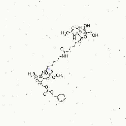 B[C@@H]1O[C@H](COC(=O)OCc2ccccc2)C(OP(O)(=S)OC)[C@@H]1C/C=C/CCCCNC(=O)CCCCO[C@@H]1O[C@H](CO)[C@H](O)[C@H](O)[C@H]1NC(C)=O